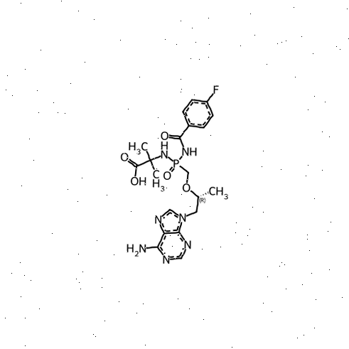 C[C@H](Cn1cnc2c(N)ncnc21)OCP(=O)(NC(=O)c1ccc(F)cc1)NC(C)(C)C(=O)O